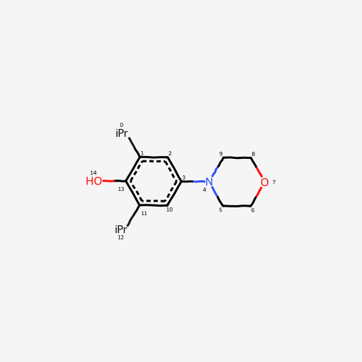 CC(C)c1cc(N2CCOCC2)cc(C(C)C)c1O